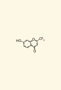 O=c1cc(C(F)(F)F)oc2cc(O)ccc12